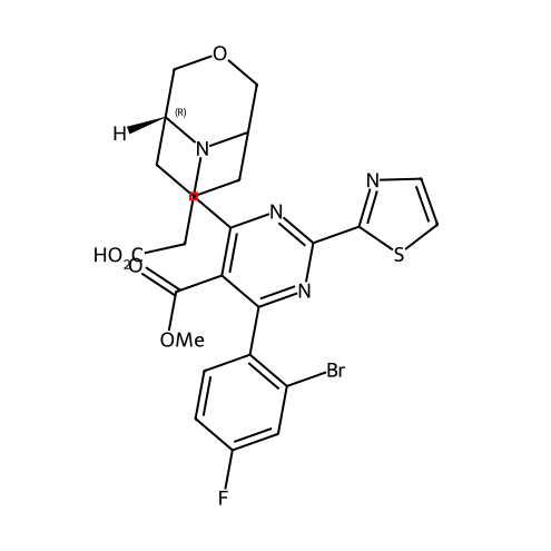 COC(=O)c1c(CN2C3COC[C@H]2CC(CC(=O)O)C3)nc(-c2nccs2)nc1-c1ccc(F)cc1Br